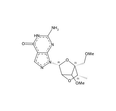 COC[C@]12O[C@@H](n3ncc4c(=O)[nH]c(N)nc43)C(O[C@H]1C)C2OC